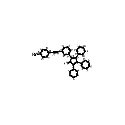 O=C1C(c2ccccc2)=C(c2ccccc2)C(c2ccccc2)=C1c1cccc(C#Cc2ccc(Br)cc2)c1